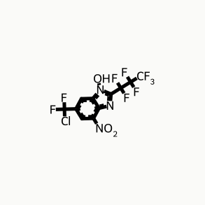 O=[N+]([O-])c1cc(C(F)(F)Cl)cc2c1nc(C(F)(F)C(F)(F)C(F)(F)F)n2O